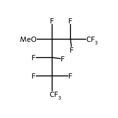 COC(F)(C(F)(F)C(F)(F)F)C(F)(F)C(F)(F)C(F)(F)F